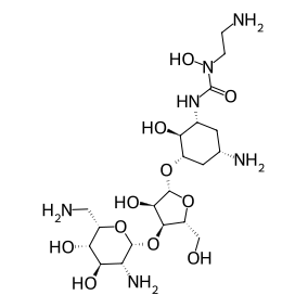 NCCN(O)C(=O)N[C@@H]1C[C@H](N)C[C@H](O[C@@H]2O[C@H](CO)[C@@H](O[C@H]3O[C@@H](CN)[C@@H](O)[C@H](O)[C@H]3N)[C@H]2O)[C@H]1O